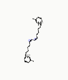 Cc1ccc[n+](CCCC/C=C\C=C/CCCC[n+]2cccc(C)c2)c1